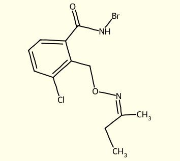 CCC(C)=NOCc1c(Cl)cccc1C(=O)NBr